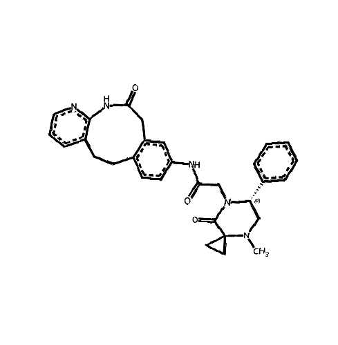 CN1C[C@@H](c2ccccc2)N(CC(=O)Nc2ccc3c(c2)CC(=O)Nc2ncccc2CC3)C(=O)C12CC2